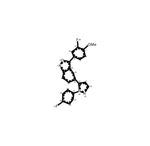 COc1ccc(-c2onc3ccc(-c4ccnn4-c4ccc(F)cc4)cc23)cc1F